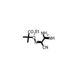 CCOC(=O)C(C)(C)ON=C(C#N)C(=N)N